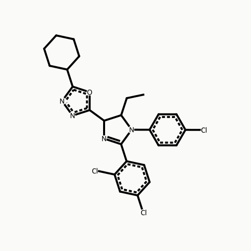 CCC1C(c2nnc(C3CCCCC3)o2)N=C(c2ccc(Cl)cc2Cl)N1c1ccc(Cl)cc1